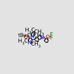 Cc1nc(C)c(C(OC(C)(C)C)C(=O)O)c(N2CCC(C)(C)CC2)c1-c1ccc2c(c1)CCN(Cc1ccccc1OC(F)F)C2